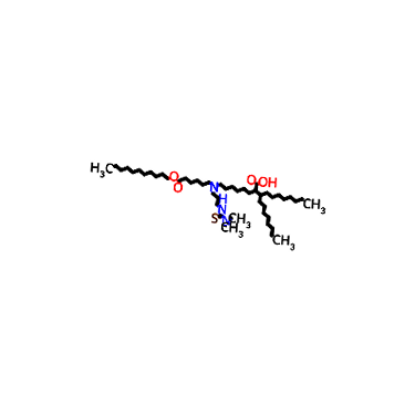 CCCCCCCCCCCOC(=O)CCCCCN(CCCCCCC(C(=O)O)C(CCCCCCCC)CCCCCCCC)CCCNC(=S)N(C)C